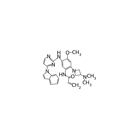 C=CC(=O)Nc1cc(Nc2nccc(-n3ccc4ccccc43)n2)c(OC)cc1N1CC(N(C)C)C1